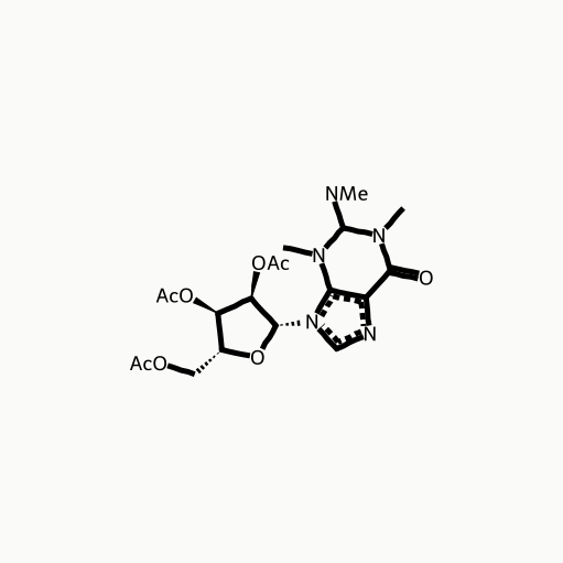 CNC1N(C)C(=O)c2ncn([C@@H]3O[C@H](COC(C)=O)[C@@H](OC(C)=O)[C@H]3OC(C)=O)c2N1C